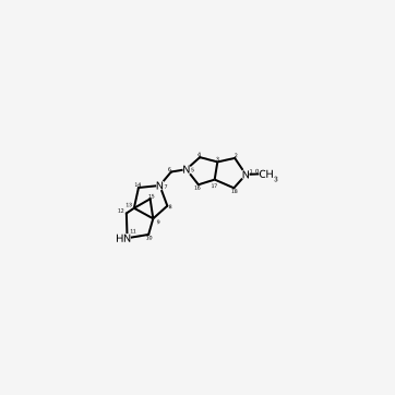 CN1CC2CN(CN3CC45CNCC4(C3)C5)CC2C1